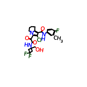 Cc1cc(NC(=O)c2c(Cl)c(C(=O)C(=O)NC3(CO)CC(F)(F)C3)n3c2CCCC3)ccc1F